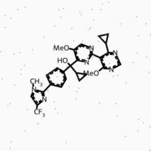 COc1cnc(-c2c(OC)ncnc2C2CC2)nc1C(O)(c1ccc(-c2nc(C(F)(F)F)cn2C)cc1)C1CC1